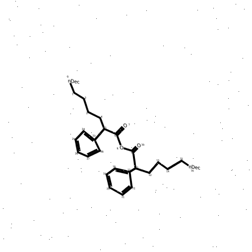 CCCCCCCCCCCCCCC(C(=O)OC(=O)C(CCCCCCCCCCCCCC)c1ccccc1)c1ccccc1